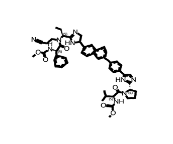 CC[C@@H](C1=NCC(c2ccc3cc(-c4ccc(-c5cnc([C@@H]6CCCN6C(=O)[C@@H](NC(=O)OC)C(C)C)[nH]5)cc4)ccc3c2)N1)N(CCC#N)C(=O)[C@H](NC(=O)OC)c1ccccc1